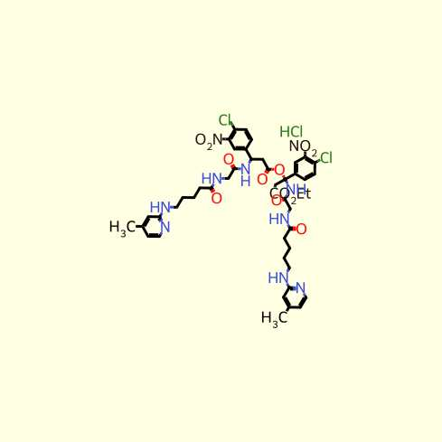 CCOC(=O)CC(NC(=O)CNC(=O)CCCCNc1cc(C)ccn1)(OC(=O)CC(NC(=O)CNC(=O)CCCCNc1cc(C)ccn1)c1ccc(Cl)c([N+](=O)[O-])c1)c1ccc(Cl)c([N+](=O)[O-])c1.Cl